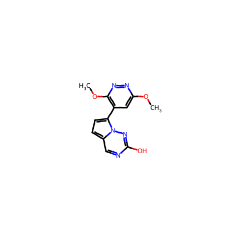 COc1cc(-c2ccc3cnc(O)nn23)c(OC)nn1